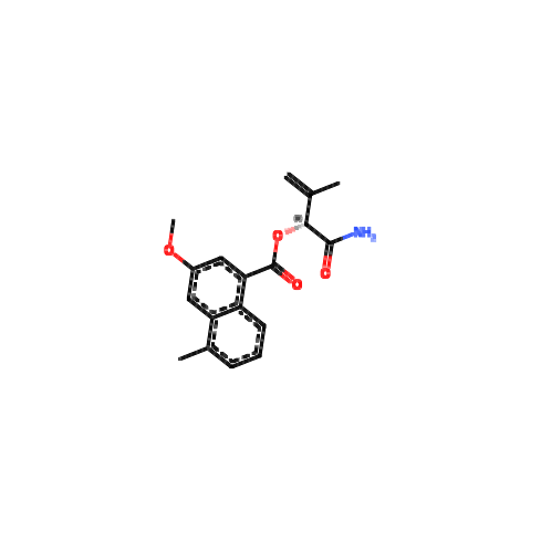 C=C(C)[C@@H](OC(=O)c1cc(OC)cc2c(C)cccc12)C(N)=O